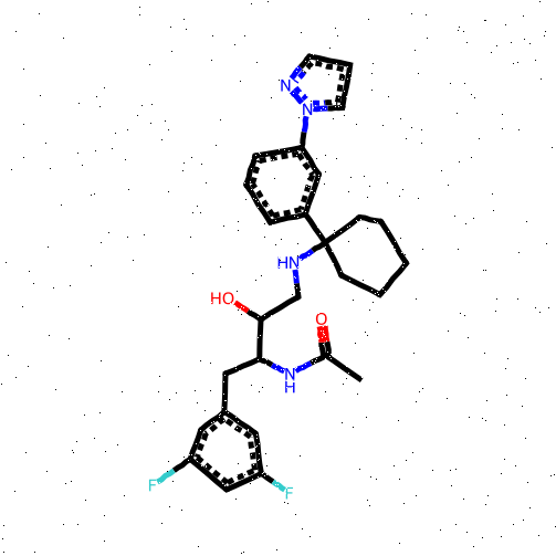 CC(=O)NC(Cc1cc(F)cc(F)c1)C(O)CNC1(c2cccc(-n3cccn3)c2)CCCCC1